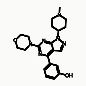 CN1CCC(n2ncc3c(-c4cccc(O)c4)nc(N4CCOCC4)nc32)CC1